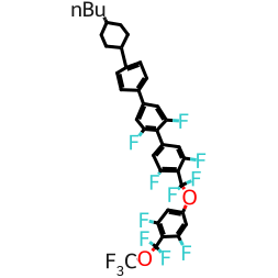 CCCCC1CCC(c2ccc(-c3cc(F)c(-c4cc(F)c(C(F)(F)Oc5cc(F)c(C(F)(F)OC(F)(F)F)c(F)c5)c(F)c4)c(F)c3)cc2)CC1